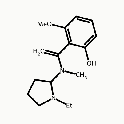 C=C(c1c(O)cccc1OC)N(C)C1CCCN1CC